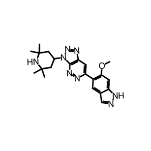 COc1cc2[nH]ncc2cc1-c1cc2nnn(C3CC(C)(C)NC(C)(C)C3)c2nn1